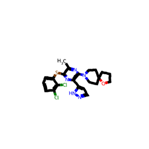 Cc1nc(N2CCC3(CCCO3)CC2)c(-c2ccn[nH]2)nc1Sc1cccc(Cl)c1Cl